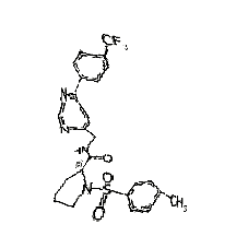 Cc1ccc(S(=O)(=O)N2CCC[C@H]2C(=O)NCc2cc(-c3ccc(C(F)(F)F)cc3)ncn2)cc1